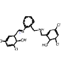 OC1C(CNCc2ccccc2/N=C/C2C=C(Cl)C=C(Cl)C2O)=CC(Cl)=CC1Cl